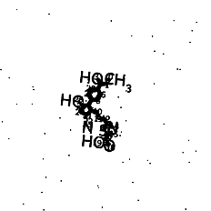 CCC(O)c1ccc(C2C(CCCc3ncc(C(=O)O)s3)[C@H](C#N)C[C@H]2O)cc1